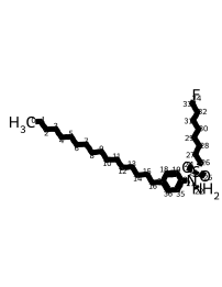 CCCCCCCCCCCCCCCCCc1ccc(N(N)S(=O)(=O)CCCCCCCCF)cc1